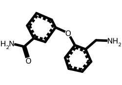 NCc1ccccc1Oc1cccc(C(N)=O)c1